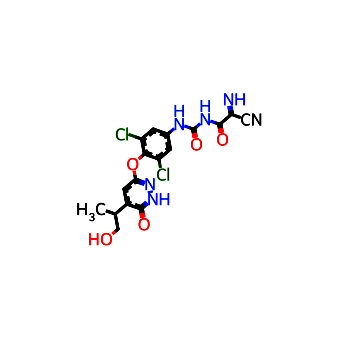 CC(CO)c1cc(Oc2c(Cl)cc(NC(=O)NC(=O)C(=N)C#N)cc2Cl)n[nH]c1=O